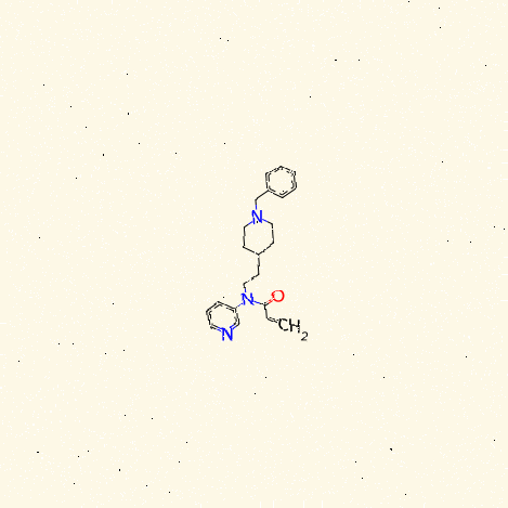 C=CC(=O)N(CCC1CCN(Cc2ccccc2)CC1)c1cccnc1